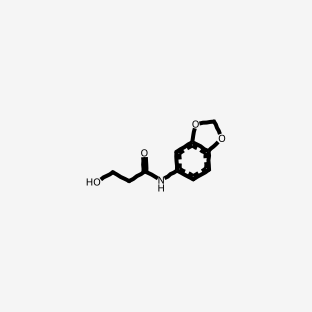 O=C(CCO)Nc1ccc2c(c1)OCO2